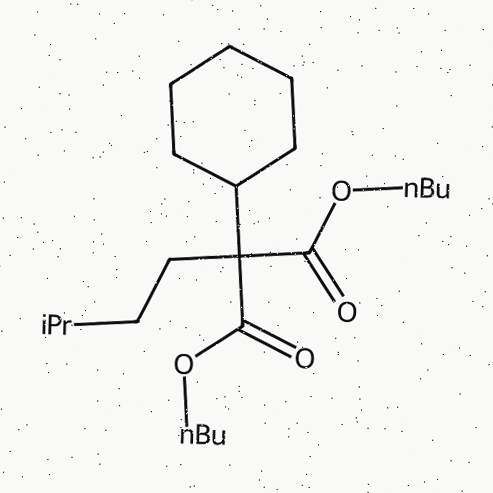 CCCCOC(=O)C(CCC(C)C)(C(=O)OCCCC)C1CCCCC1